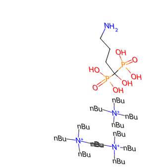 CCCC[N+](CCCC)(CCCC)CCCC.CCCC[N+](CCCC)(CCCC)CCCC.CCCC[N+](CCCC)(CCCC)CCCC.NCCCC(O)(P(=O)(O)O)P(=O)(O)O